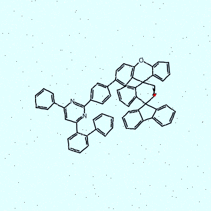 c1ccc(-c2cc(-c3ccccc3-c3ccccc3)nc(-c3ccc(-c4ccc5c(c4)C4(c6ccccc6O5)c5ccccc5C5(c6ccccc6-c6ccccc65)c5ccccc54)cc3)n2)cc1